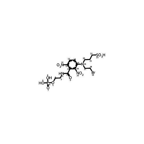 O=C(NCCOP(=O)(O)O)c1c([N+](=O)[O-])ccc(N(CCBr)CCCS(=O)(=O)O)c1[N+](=O)[O-]